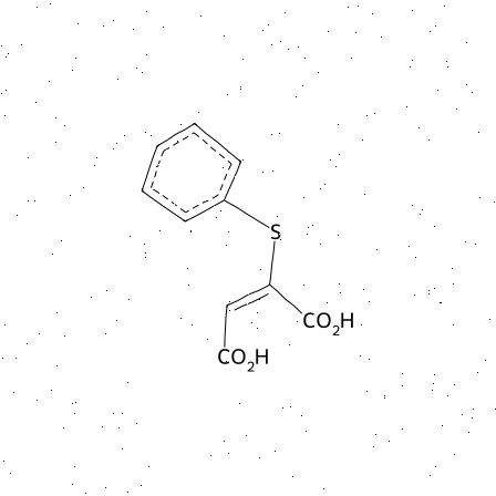 O=C(O)C=C(Sc1ccccc1)C(=O)O